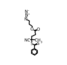 CC(C#N)(CCC(=O)OCCCN=[N+]=[N-])SC(=S)c1ccccc1